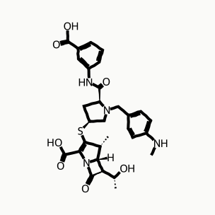 CNc1ccc(CN2C[C@@H](SC3=C(C(=O)O)N4C(=O)[C@H]([C@@H](C)O)[C@H]4[C@H]3C)C[C@H]2C(=O)Nc2cccc(C(=O)O)c2)cc1